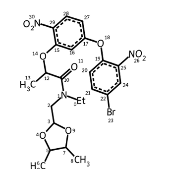 CCN(CC1OC(C)C(C)O1)C(=O)C(C)Oc1cc(Oc2ccc(Br)cc2[N+](=O)[O-])ccc1[N+](=O)[O-]